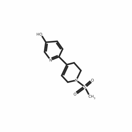 CS(=O)(=O)N1CC=C(c2ccc(O)cn2)CC1